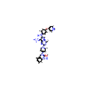 Cc1nc(N2CCC(N3Cc4ccccc4NC3=O)CC2)nc2c(N)c(Nc3ccc(Oc4ccncc4)cc3)nn12